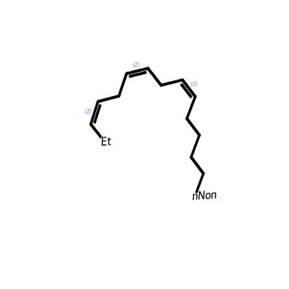 CC/C=C\C/C=C\C/C=C\CCCCCCCC[CH]CCCC